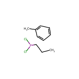 CCCP(Cl)Cl.Cc1ccccc1